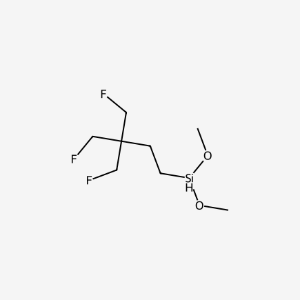 CO[SiH](CCC(CF)(CF)CF)OC